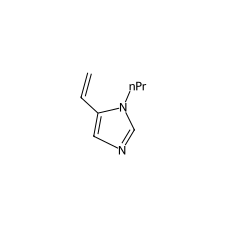 C=Cc1cncn1CCC